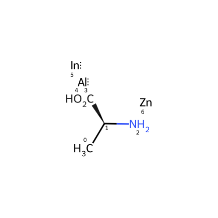 C[C@H](N)C(=O)O.[Al].[In].[Zn]